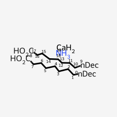 CCCCCCCCCCCCCCCCCC(=O)O.CCCCCCCCCCCCCCCCCC(=O)O.N.[CaH2]